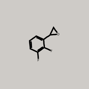 Fc1cccc(C2CO2)c1F